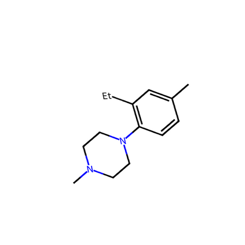 CCc1cc(C)ccc1N1CCN(C)CC1